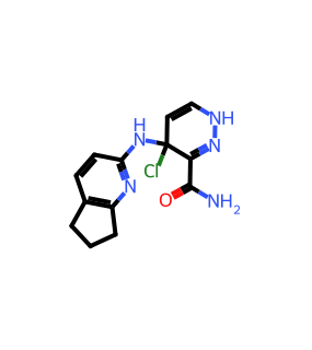 NC(=O)C1=NNC=CC1(Cl)Nc1ccc2c(n1)CCC2